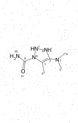 CC1=C(N(C)C)NNN1C(N)=O